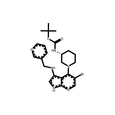 CC(C)(C)OC(=O)N[C@@H]1CCCN(c2c(Br)cnc3[nH]cc(NCc4cccnc4)c23)C1